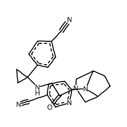 N#Cc1ccc(C2(NCC(=O)N3CC4CCC(C3)N4c3ccc(C#N)cn3)CC2)cc1